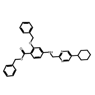 O=C(OCc1ccccc1)c1ccc(NCc2ncc(C3CCCCC3)cn2)cc1OCc1ccccc1